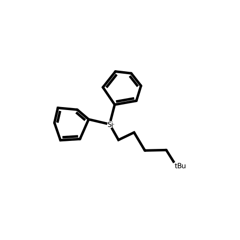 CC(C)(C)CCCC[Si](c1ccccc1)c1ccccc1